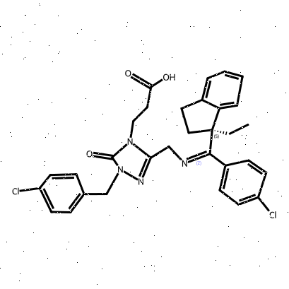 CC[C@]1(/C(=N\Cc2nn(Cc3ccc(Cl)cc3)c(=O)n2CCC(=O)O)c2ccc(Cl)cc2)CCc2ccccc21